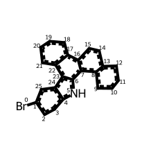 Brc1ccc2[nH]c3c4c5ccccc5ccc4c4ccccc4c3c2c1